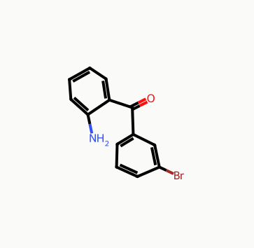 Nc1ccccc1C(=O)c1cccc(Br)c1